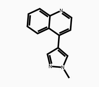 Cn1cc(-c2ccnc3ccccc23)cn1